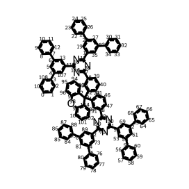 c1ccc(-c2cc(-c3ccccc3)cc(-c3nc(-c4cc(-c5ccccc5)cc(-c5ccccc5)c4)nc(-c4cccc(C5(c6cccc(-c7nc(-c8cc(-c9ccccc9)cc(-c9ccccc9)c8)nc(-c8cc(-c9ccccc9)cc(-c9ccccc9)c8)n7)c6)c6ccccc6Oc6ccccc65)c4)n3)c2)cc1